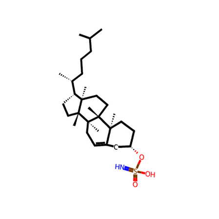 CC(C)CCC[C@@H](C)[C@H]1CC[C@@]2(C)[C@]3(C)CC=C4C[C@@H](OS(=N)(=O)O)CC[C@]4(C)[C@@]3(C)CC[C@]12C